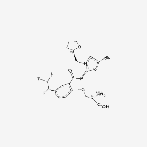 CC(C)(C)c1cn(C[C@H]2CCCO2)c(=NC(=O)c2cc(C(F)C(F)F)ccc2OC[C@H](N)CO)s1